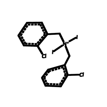 Clc1ccccc1C[N+](I)(I)Cc1ccccc1Cl